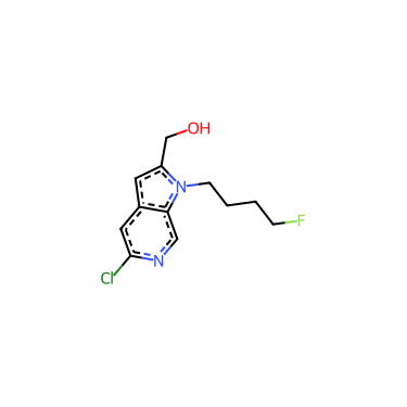 OCc1cc2cc(Cl)ncc2n1CCCCF